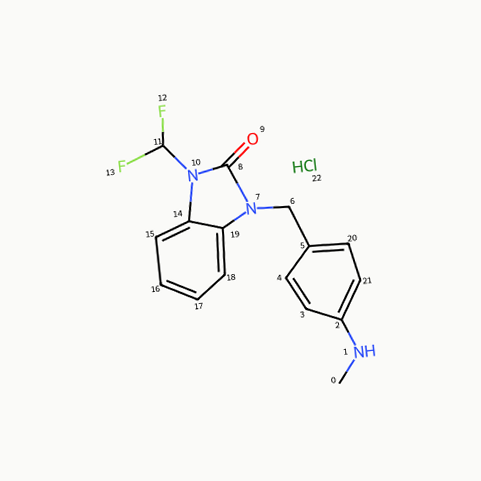 CNc1ccc(Cn2c(=O)n(C(F)F)c3ccccc32)cc1.Cl